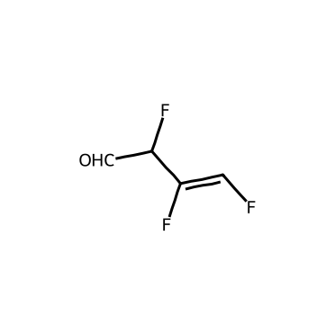 O=CC(F)C(F)=CF